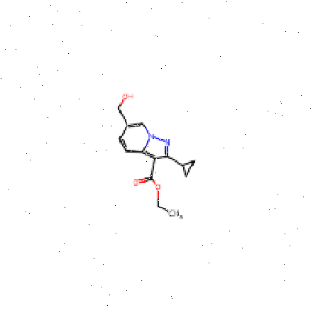 CCOC(=O)c1c(C2CC2)nn2cc(CO)ccc12